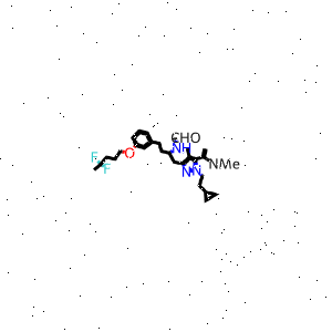 C=C(NC)c1c(C)c(CC(CCc2cccc(OCCCC(C)(F)F)c2)NC=O)nn1CCC1CC1